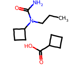 CCCN(C(N)=O)C1CCC1.O=C(O)C1CCC1